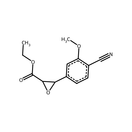 CCOC(=O)C1OC1c1ccc(C#N)c(OC)c1